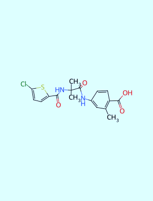 Cc1cc(NC(=O)C(C)(C)NC(=O)c2ccc(Cl)s2)ccc1C(=O)O